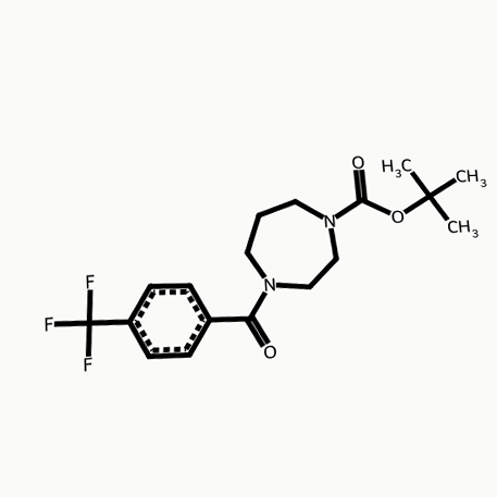 CC(C)(C)OC(=O)N1CCCN(C(=O)c2ccc(C(F)(F)F)cc2)CC1